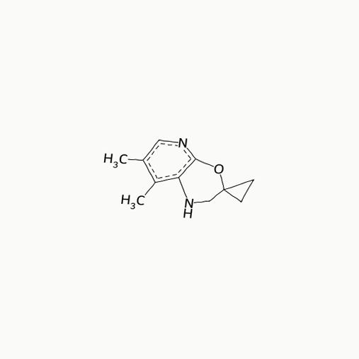 Cc1cnc2c(c1C)NCC1(CC1)O2